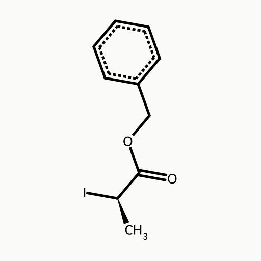 C[C@@H](I)C(=O)OCc1ccccc1